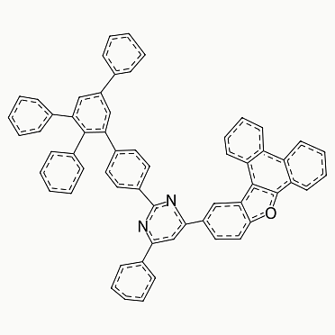 c1ccc(-c2cc(-c3ccccc3)c(-c3ccccc3)c(-c3ccc(-c4nc(-c5ccccc5)cc(-c5ccc6oc7c8ccccc8c8ccccc8c7c6c5)n4)cc3)c2)cc1